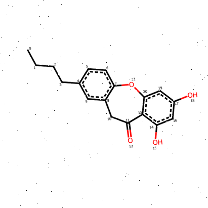 CCCCc1ccc2c(c1)CC(=O)c1c(O)cc(O)cc1O2